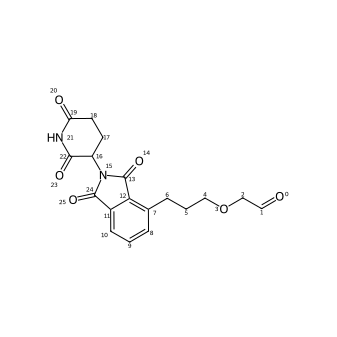 O=CCOCCCc1cccc2c1C(=O)N(C1CCC(=O)NC1=O)C2=O